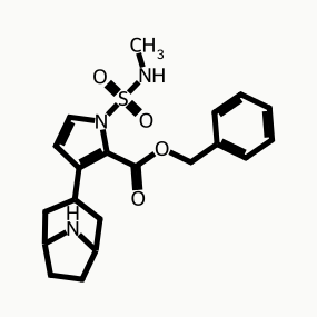 CNS(=O)(=O)n1ccc(C2CC3CCC(C2)N3)c1C(=O)OCc1ccccc1